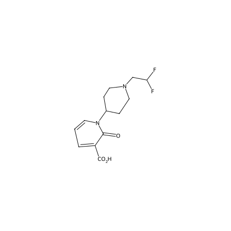 O=C(O)c1cccn(C2CCN(CC(F)F)CC2)c1=O